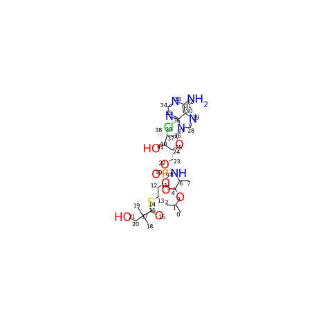 CC(C)OC(=O)C(C)NP(=O)(OCCSC(=O)C(C)(C)CO)OC[C@H]1O[C@@H](n2cnc3c(N)ncnc32)[C@](C)(Cl)[C@@H]1O